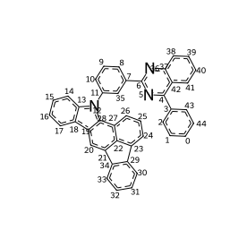 c1ccc(-c2nc(-c3cccc(-n4c5ccccc5c5cc6c7c(cccc7c54)-c4ccccc4-6)c3)nc3ccccc23)cc1